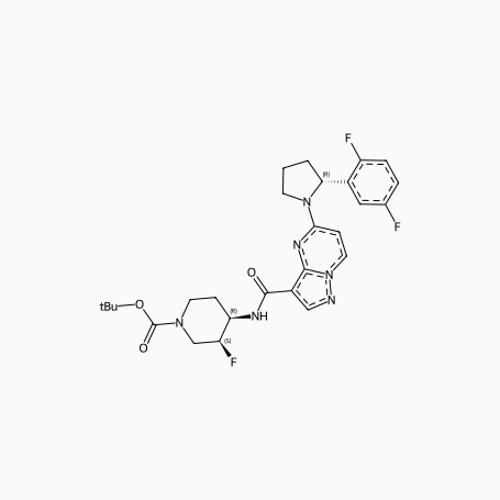 CC(C)(C)OC(=O)N1CC[C@@H](NC(=O)c2cnn3ccc(N4CCC[C@@H]4c4cc(F)ccc4F)nc23)[C@@H](F)C1